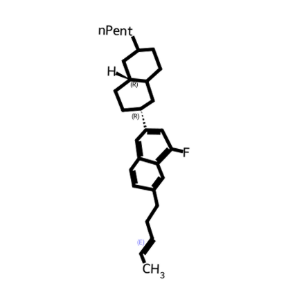 C/C=C/CCc1ccc2cc([C@@H]3CC[C@@H]4CC(CCCCC)CCC4C3)cc(F)c2c1